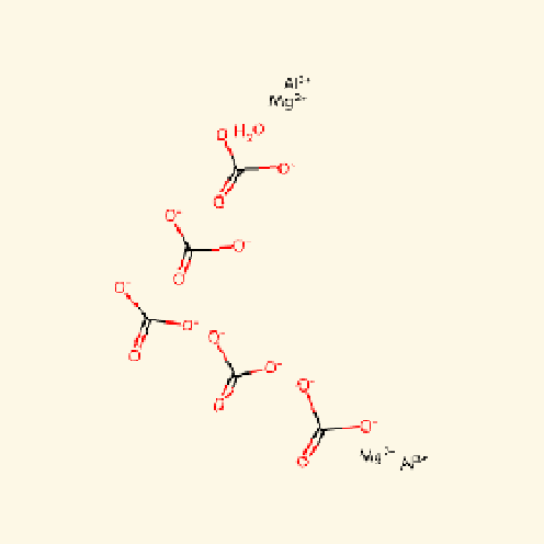 O.O=C([O-])[O-].O=C([O-])[O-].O=C([O-])[O-].O=C([O-])[O-].O=C([O-])[O-].[Al+3].[Al+3].[Mg+2].[Mg+2]